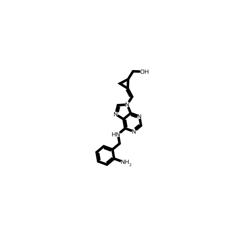 Nc1ccccc1CNc1ncnc2c1ncn2C=C1CC1CO